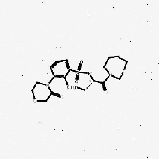 CCc1c(N2CCOCC2=O)cccc1S(=O)(=O)N[C@@H](CN)C(=O)N1CCCCCC1